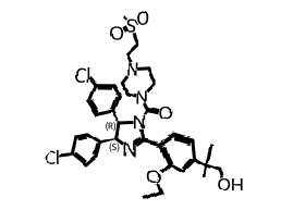 CCOc1cc(C(C)(C)CO)ccc1C1=N[C@@H](c2ccc(Cl)cc2)[C@@H](c2ccc(Cl)cc2)N1C(=O)N1CCN(CCS(C)(=O)=O)CC1